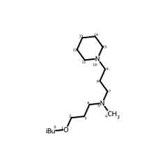 CCC(C)OCCCN(C)CCCN1CCCCC1